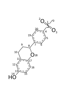 CS(=O)(=O)c1ccc(C2CCc3cc(O)ccc3O2)cc1